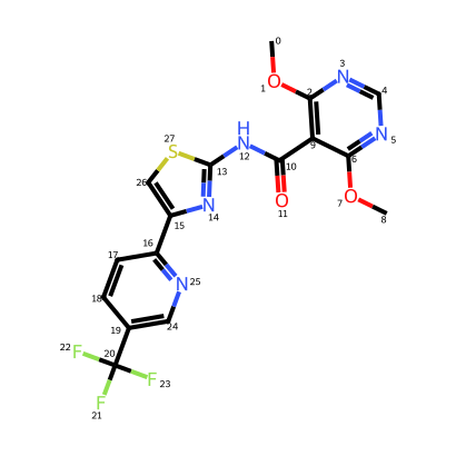 COc1ncnc(OC)c1C(=O)Nc1nc(-c2ccc(C(F)(F)F)cn2)cs1